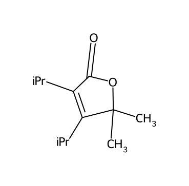 CC(C)C1=C(C(C)C)C(C)(C)OC1=O